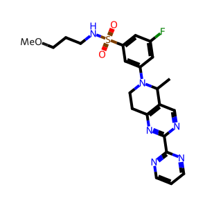 COCCCNS(=O)(=O)c1cc(F)cc(N2CCc3nc(-c4ncccn4)ncc3C2C)c1